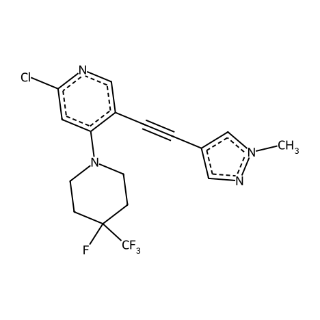 Cn1cc(C#Cc2cnc(Cl)cc2N2CCC(F)(C(F)(F)F)CC2)cn1